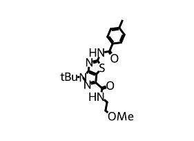 COCCNC(=O)c1nn(C(C)(C)C)c2nc(NC(=O)c3ccc(C)cc3)sc12